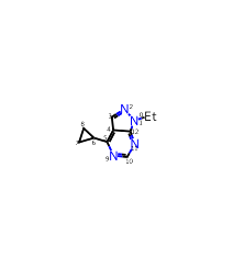 CCn1ncc2c(C3CC3)ncnc21